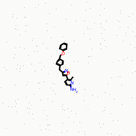 Cc1nc(N)ccc1-c1cc(Cc2ccc(COc3ccccc3)cc2)no1